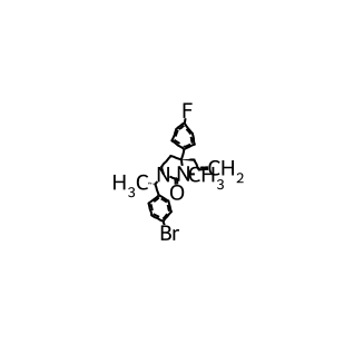 C=CC[C@]1(c2ccc(F)cc2)CCN([C@@H](C)c2ccc(Br)cc2)C(=O)N1C